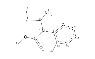 CCC(N)N(C(=O)OC)c1ccccc1C